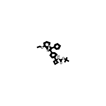 CCOc1cccn2c(-c3ccccc3)c(-c3ccc(C4(NC(=O)OC(C)(C)C)CCC4)cc3)nc12